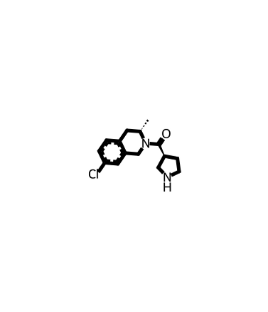 C[C@H]1Cc2ccc(Cl)cc2CN1C(=O)[C@H]1CCNC1